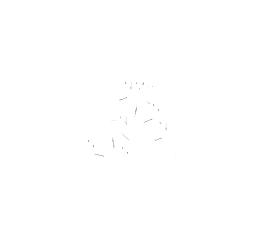 CNC(=O)c1cnc(NC(=O)C2CC2)cc1Nc1cn(C)c(/C=C\N(C)C)c1C=O